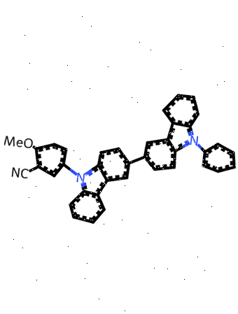 COc1ccc(-n2c3ccccc3c3cc(-c4ccc5c(c4)c4ccccc4n5-c4ccccc4)ccc32)cc1C#N